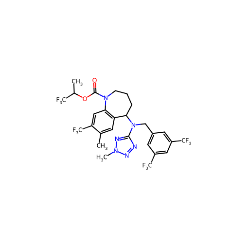 Cc1cc2c(cc1C(F)(F)F)N(C(=O)OC(C)C(F)(F)F)CCCC2N(Cc1cc(C(F)(F)F)cc(C(F)(F)F)c1)c1nnn(C)n1